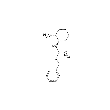 Cl.N[C@@H]1CCCC[C@H]1NC(=O)OCc1ccccc1